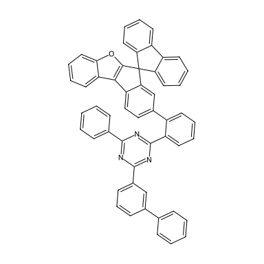 c1ccc(-c2cccc(-c3nc(-c4ccccc4)nc(-c4ccccc4-c4ccc5c(c4)C4(c6ccccc6-c6ccccc64)c4oc6ccccc6c4-5)n3)c2)cc1